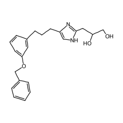 OCC(O)Cc1nc(CCCc2cccc(OCc3ccccc3)c2)c[nH]1